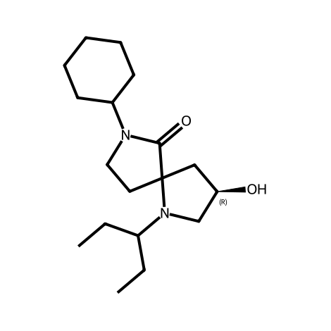 CCC(CC)N1C[C@H](O)CC12CCN(C1CCCCC1)C2=O